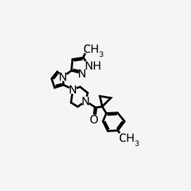 Cc1ccc(C2(C(=O)N3CCN(c4cccn4-c4cc(C)[nH]n4)CC3)CC2)cc1